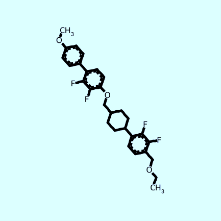 CCOCc1ccc(C2CCC(COc3ccc(-c4ccc(OC)cc4)c(F)c3F)CC2)c(F)c1F